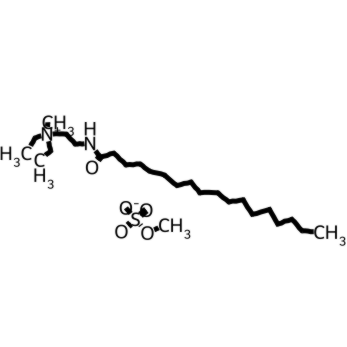 CCCCCCCCCCCCCCCCCC(=O)NCC[N+](C)(CC)CC.COS(=O)(=O)[O-]